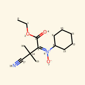 CCOC(=O)C(=[N+]([O-])C1CCCCC1)C(C)(C)C#N